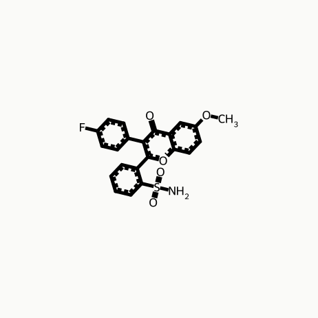 COc1ccc2oc(-c3ccccc3S(N)(=O)=O)c(-c3ccc(F)cc3)c(=O)c2c1